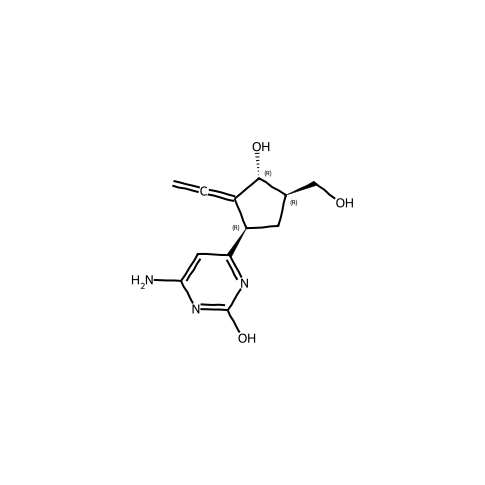 C=C=C1[C@H](c2cc(N)nc(O)n2)C[C@H](CO)[C@H]1O